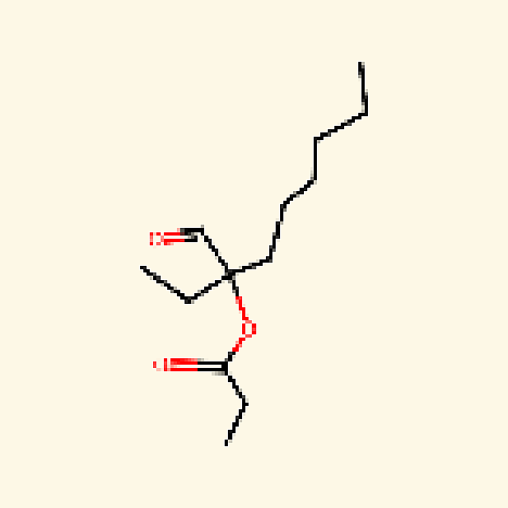 CCCCCCC([C]=O)(CC)OC(=O)CC